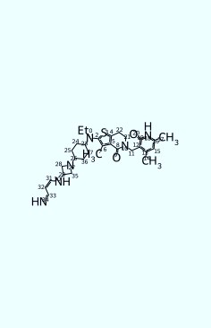 CCN(c1sc2c(c1C)C(=O)N(Cc1c(C)cc(C)[nH]c1=O)CC2)C1CCC(N2CC(N/C=C\C=N)C2)CC1